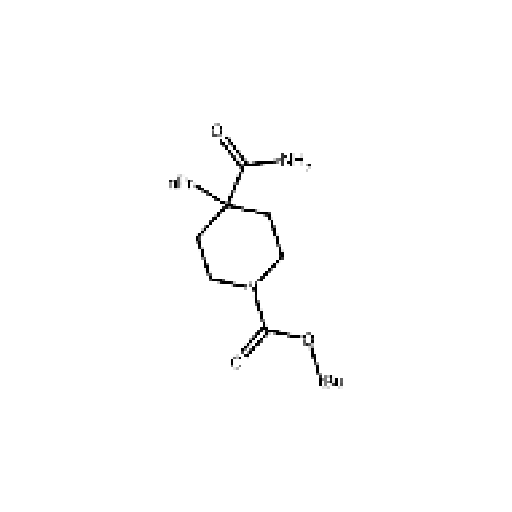 CCCC1(C(N)=O)CCN(C(=O)OC(C)(C)C)CC1